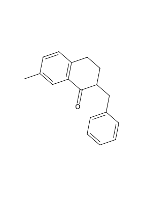 Cc1ccc2c(c1)C(=O)C(Cc1ccccc1)CC2